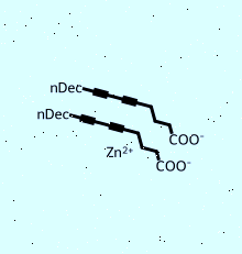 CCCCCCCCCCC#CC#CCCCC(=O)[O-].CCCCCCCCCCC#CC#CCCCC(=O)[O-].[Zn+2]